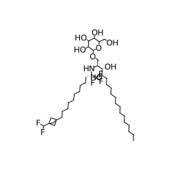 CCCCCCCCCCCCCC[C@@H](O)[C@@H](O)[C@H](COC1OC(CO)C(O)C(O)C1O)N[C@@H](CCCCCCCCCCC12CC(C(F)F)(C1)C2)C(F)(F)F